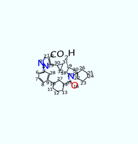 O=C(O)c1cnn(-c2cccc(C3CCCC(C(=O)N4CCCC45CCCCC5)C3)c2)c1C1CC1